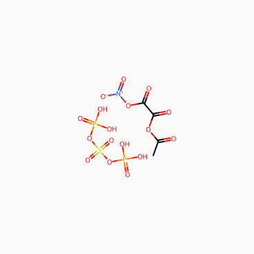 CC(=O)OC(=O)C(=O)O[N+](=O)[O-].O=P(O)(O)OS(=O)(=O)OP(=O)(O)O